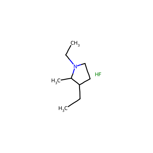 CCC1CCN(CC)C1C.F